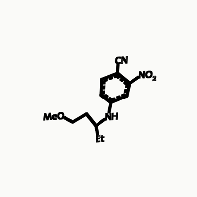 CCC(CCOC)Nc1ccc(C#N)c([N+](=O)[O-])c1